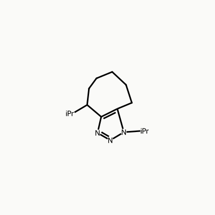 CC(C)C1CCCCCc2c1nnn2C(C)C